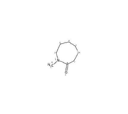 CN1CCCCCCC1=O